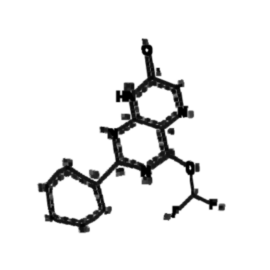 O=c1cnc2c(OC(F)F)nc(-c3ccccc3)nc2[nH]1